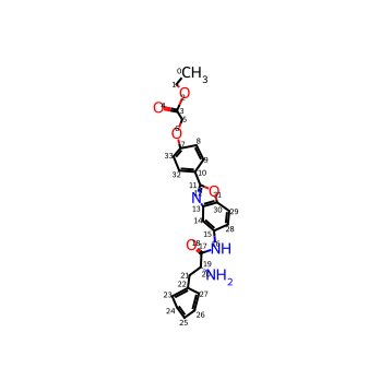 CCOC(=O)COc1ccc(-c2nc3cc(NC(=O)[C@H](N)Cc4ccccc4)ccc3o2)cc1